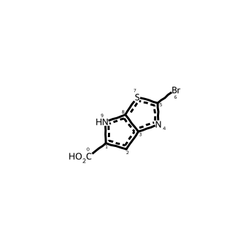 O=C(O)c1cc2nc(Br)sc2[nH]1